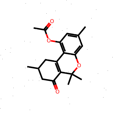 CC(=O)Oc1cc(C)cc2c1C1=C(C(=O)CC(C)C1)C(C)(C)O2